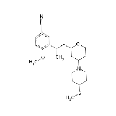 COc1ccc(C#N)cc1C(C)CC1CC(N2CCC(SC)CC2)CCO1